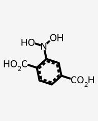 O=C(O)c1ccc(C(=O)O)c(N(O)O)c1